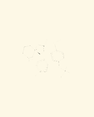 COc1ccc(OC(F)(F)F)cc1[C@@H]1C[C@@]2(CCCN[C@H]2c2ccccc2)OC1=O.Cl